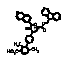 Cc1ccc(C(=O)O)c(C)c1-c1ccc(C(CNC(=O)OCC2c3ccccc3-c3ccccc32)NC(=O)c2ccc3cnccc3c2)cc1